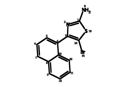 Nc1nc(-c2cccc3ccccc23)c(Br)s1